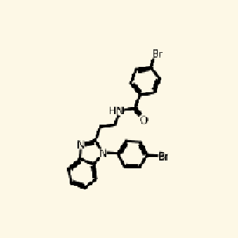 O=C(NCCc1nc2ccccc2n1-c1ccc(Br)cc1)c1ccc(Br)cc1